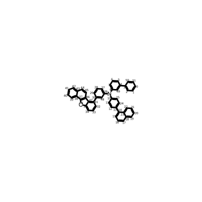 c1ccc(-c2cccc(N(c3ccc(-c4cccc5ccccc45)cc3)c3cccc(-c4cccc5oc6c7ccccc7ccc6c45)c3)c2)cc1